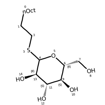 CCCCCCCCCCSC1O[C@H](CO)[C@@H](O)[C@H](O)[C@H]1O